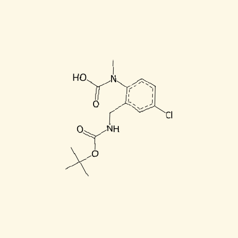 CN(C(=O)O)c1ccc(Cl)cc1CNC(=O)OC(C)(C)C